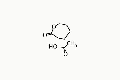 CC(=O)O.O=C1CCCCCO1